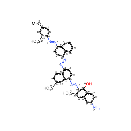 COc1ccc(N=Nc2ccc(N=Nc3ccc(N=Nc4c(S(=O)(=O)O)cc5cc(N)ccc5c4O)c4cc(S(=O)(=O)O)ccc34)c3ccccc23)c(S(=O)(=O)O)c1